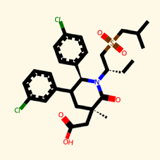 CC[C@@H](CS(=O)(=O)CC(C)C)N1C(=O)[C@@](C)(CC(=O)O)CC(c2cccc(Cl)c2)[C@H]1c1ccc(Cl)cc1